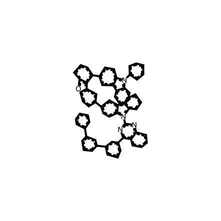 c1ccc(-c2cccc(-c3cccc(-c4nc(-n5c6ccccc6c6cc(-c7ccc8oc9cccc(-c%10ccc%11c(c%10)c%10ccccc%10n%11-c%10ccccc%10)c9c8c7)ccc65)nc5ccccc45)c3)c2)cc1